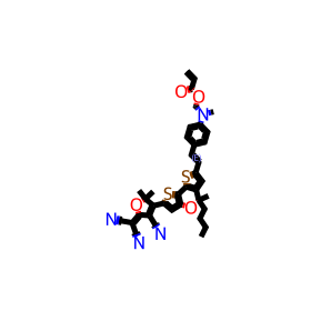 C=CC(=O)OCN(C)c1ccc(/C=C/c2cc3c(s2)-c2sc(C4=C(C#N)C(=C(C#N)C#N)OC4(C)C)cc2OC3(C)CCCC)cc1